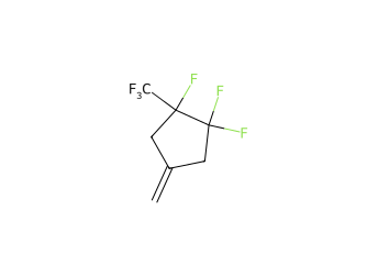 C=C1CC(F)(F)C(F)(C(F)(F)F)C1